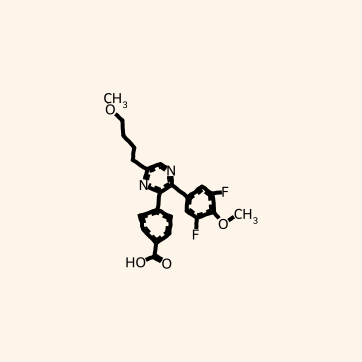 COCCCCc1cnc(-c2cc(F)c(OC)c(F)c2)c(-c2ccc(C(=O)O)cc2)n1